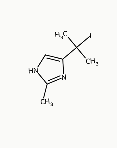 Cc1nc(C(C)(C)I)c[nH]1